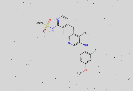 CNS(=O)(=O)Nc1nccc(Cc2cncc(Nc3ccc(OC(F)(F)F)cc3F)c2C)c1F